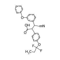 CCC(F)(F)Oc1ccc(C(C(=O)O)C(C#N)c2cccc(Oc3ccccc3)c2)cc1